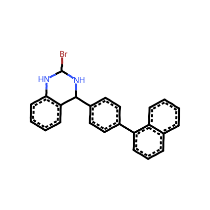 BrC1Nc2ccccc2C(c2ccc(-c3cccc4ccccc34)cc2)N1